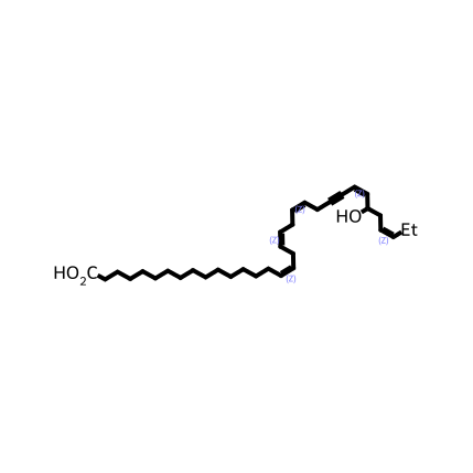 CC/C=C\CC(O)/C=C\C#CC/C=C\C/C=C\C/C=C\CCCCCCCCCCCCCCC(=O)O